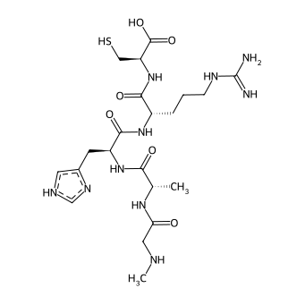 CNCC(=O)N[C@@H](C)C(=O)N[C@@H](Cc1c[nH]cn1)C(=O)N[C@@H](CCCNC(=N)N)C(=O)N[C@@H](CS)C(=O)O